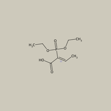 C/C=C(/C(=O)O)P(=O)(OCC)OCC